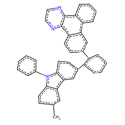 Cc1ccc2c(c1)c1cc(-c3ccccc3-c3ccc4c(c3)c3ccccc3c3nccnc43)ccc1n2-c1ccccc1